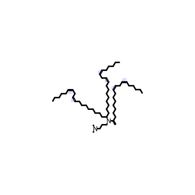 C=C(CCCCCCC/C=C\C/C=C\CCCCC)N(CCCN(C)C)C(CCCCCCCC/C=C\C/C=C\CCCCC)CCCCCCCC/C=C\C/C=C\CCCCC